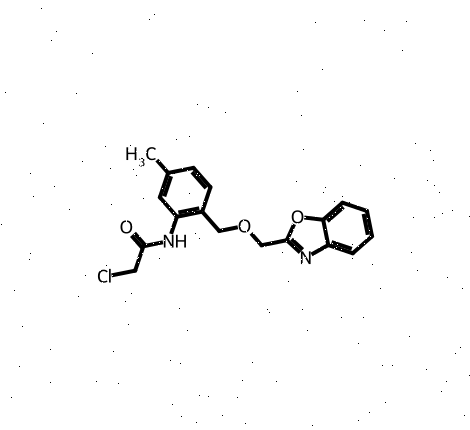 Cc1ccc(COCc2nc3ccccc3o2)c(NC(=O)CCl)c1